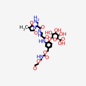 CC1CC(=O)N([C@@H](CN)C(=O)NCCC(=O)Nc2cc(COC(=O)NCOCC=O)ccc2O[C@@H]2O[C@H](C(=O)O)[C@@H](O)[C@H](O)[C@H]2O)C1=O